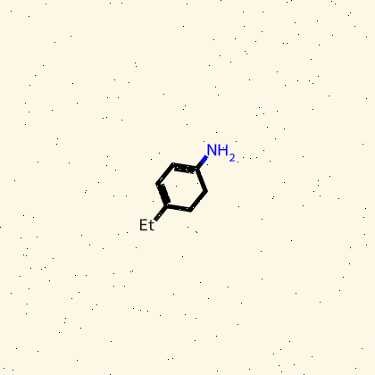 CCC1=CC=C(N)CC1